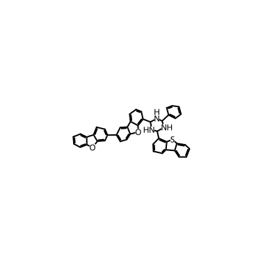 c1ccc(C2NC(c3cccc4c3oc3ccc(-c5ccc6c(c5)oc5ccccc56)cc34)NC(c3cccc4c3sc3ccccc34)N2)cc1